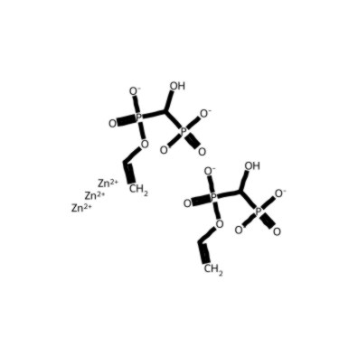 C=COP(=O)([O-])C(O)P(=O)([O-])[O-].C=COP(=O)([O-])C(O)P(=O)([O-])[O-].[Zn+2].[Zn+2].[Zn+2]